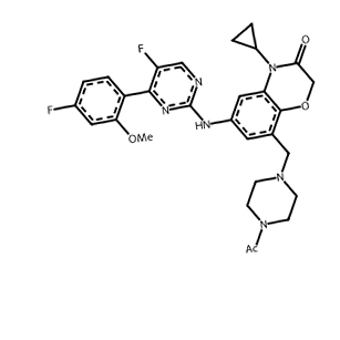 COc1cc(F)ccc1-c1nc(Nc2cc(CN3CCN(C(C)=O)CC3)c3c(c2)N(C2CC2)C(=O)CO3)ncc1F